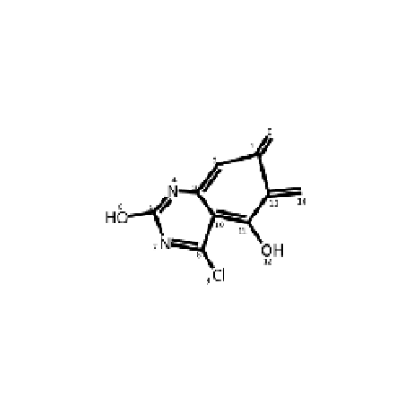 C=c1cc2nc(O)nc(Cl)c2c(O)c1=C